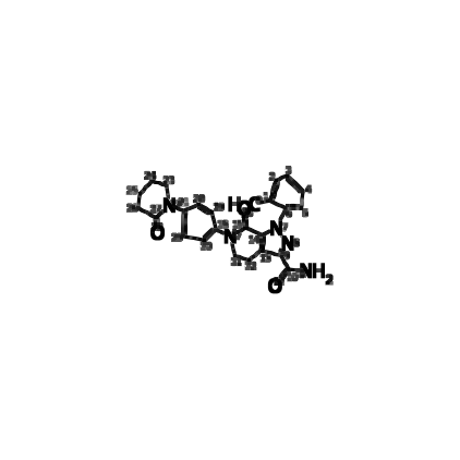 Cc1ccccc1-n1nc(C(N)=O)c2c1C(=O)N(c1ccc(N3CCCCC3=O)cc1)CC2